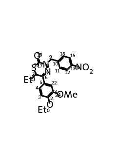 CCOc1ccc(C2=NN(Cc3ccc([N+](=O)[O-])cc3)C(=O)SC2CC)cc1OC